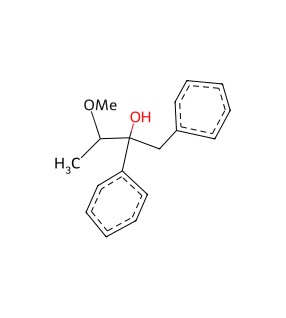 COC(C)C(O)(Cc1ccccc1)c1ccccc1